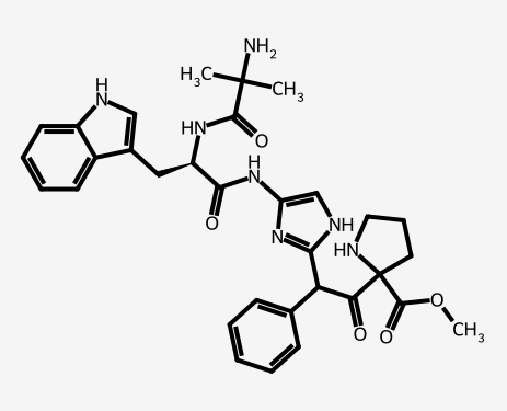 COC(=O)C1(C(=O)C(c2ccccc2)c2nc(NC(=O)[C@@H](Cc3c[nH]c4ccccc34)NC(=O)C(C)(C)N)c[nH]2)CCCN1